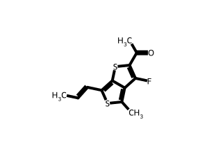 C/C=C/c1sc(C)c2c(F)c(C(C)=O)sc12